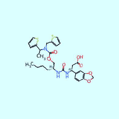 CCCC[C@H](COC(=O)N(Cc1cccs1)C(C)c1cccs1)NC(=O)N[C@@H](CC(=O)O)c1ccc2c(c1)OCO2